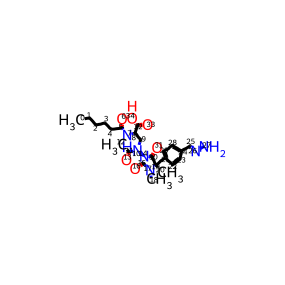 CCCCCC(=O)NC(CN(C(C)=O)N1C(=O)N(C)C(C)(c2ccc(C=NN)cc2)C1=O)C(=O)O